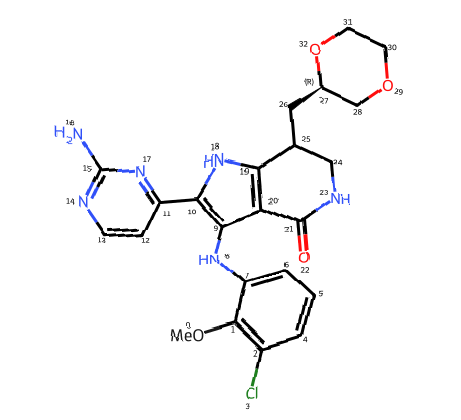 COc1c(Cl)cccc1Nc1c(-c2ccnc(N)n2)[nH]c2c1C(=O)NCC2C[C@@H]1COCCO1